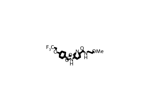 COCCNC(=O)c1ccc(NS(=O)(=O)c2ccc(OCC(F)(F)F)cc2)cn1